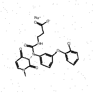 CN1C=CC(=O)[C@H](N(C(=O)NCCC(=O)[O-])c2cccc(Oc3ccccc3Cl)c2)C1=O.[Na+]